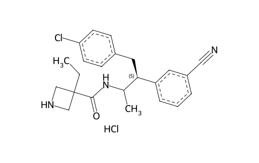 CCC1(C(=O)NC(C)[C@@H](Cc2ccc(Cl)cc2)c2cccc(C#N)c2)CNC1.Cl